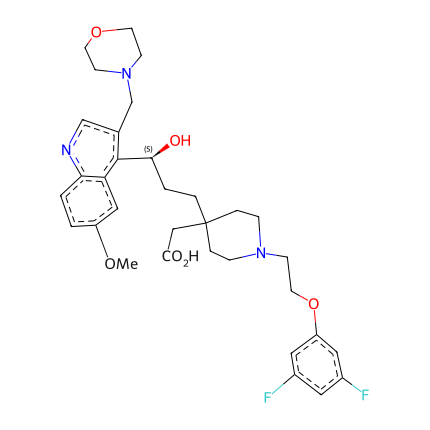 COc1ccc2ncc(CN3CCOCC3)c([C@@H](O)CCC3(CC(=O)O)CCN(CCOc4cc(F)cc(F)c4)CC3)c2c1